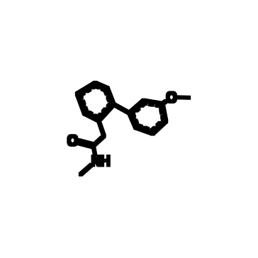 CNC(=O)Cc1ccccc1-c1cccc(OC)c1